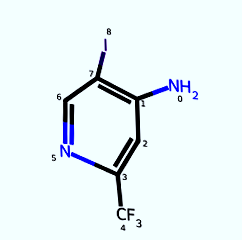 Nc1cc(C(F)(F)F)ncc1I